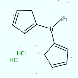 C[CH](C)[Ti]([C]1=CC=CC1)[C]1=CC=CC1.Cl.Cl